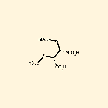 CCCCCCCCCCS[C@H](C(=O)O)[C@@H](SCCCCCCCCCC)C(=O)O